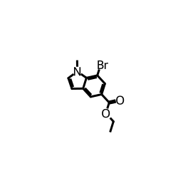 CCOC(=O)c1cc(Br)c2c(ccn2C)c1